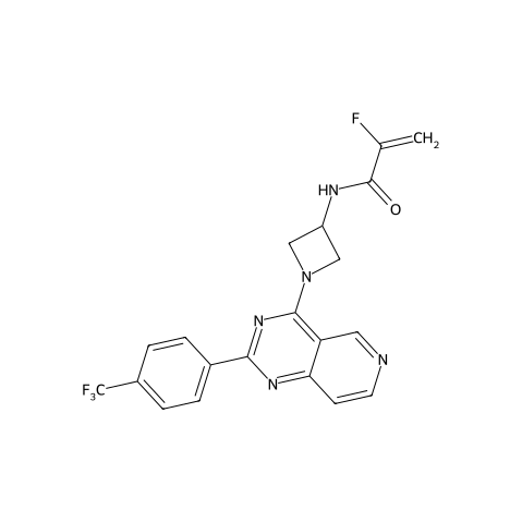 C=C(F)C(=O)NC1CN(c2nc(-c3ccc(C(F)(F)F)cc3)nc3ccncc23)C1